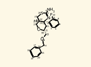 NC1=N[C@@]2(c3ccccc3F)C[C@H](COCc3ccccc3)OC[C@H]2CS1